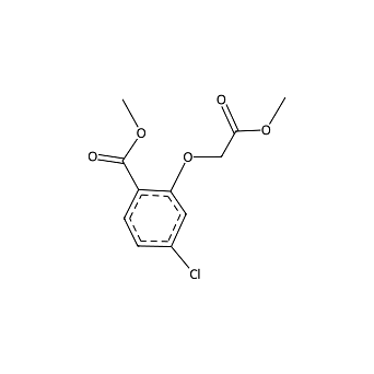 COC(=O)COc1cc(Cl)ccc1C(=O)OC